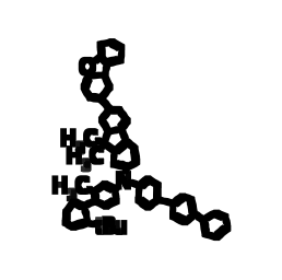 Cc1cc(N(c2ccc(-c3ccc(-c4ccccc4)cc3)cc2)c2ccc3c(c2)C(C)(C)C2CC(C4=CC=C5Oc6ccccc6C5C4)=CC=C32)ccc1-c1ccccc1C(C)(C)C